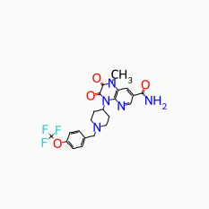 Cn1c(=O)c(=O)n(C2CCN(Cc3ccc(OC(F)(F)F)cc3)CC2)c2ncc(C(N)=O)cc21